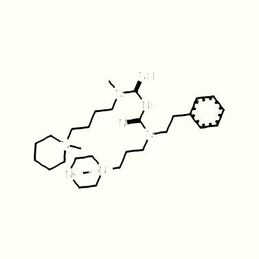 CN(CCCC[N+]1(C)CCCCC1)C(=N)NC(=N)N(CCC[N+]12CCN(CC1)CC2)CCc1ccccc1